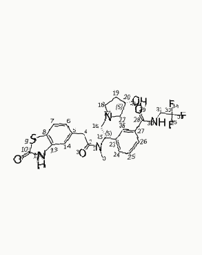 CN(C(=O)Cc1ccc2sc(=O)[nH]c2c1)[C@H](CN1CC[C@H](O)C1)c1cccc(C(=O)NCC(F)(F)F)c1